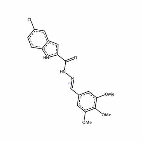 COc1cc(/C=N/NC(=O)c2cc3cc(Cl)ccc3[nH]2)cc(OC)c1OC